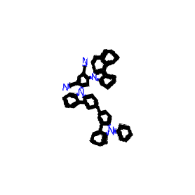 N#Cc1cc(C#N)c(-n2c3ccccc3c3c4ccccc4ccc32)cc1-n1c2ccccc2c2cc(-c3ccc4c(c3)c3ccccc3n4-c3ccccc3)ccc21